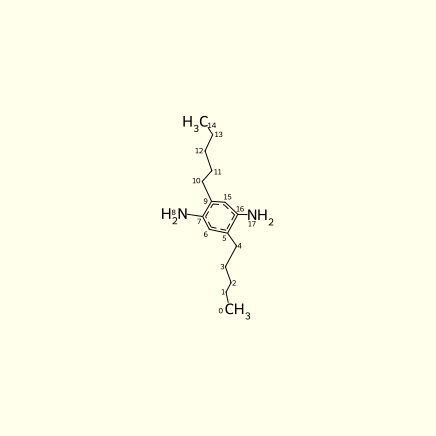 CCCCCc1cc(N)c(CCCCC)cc1N